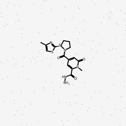 Cc1csc([C@H]2CCCN2C(=O)c2cc(C(=O)NN)n(C)c(=O)c2)n1